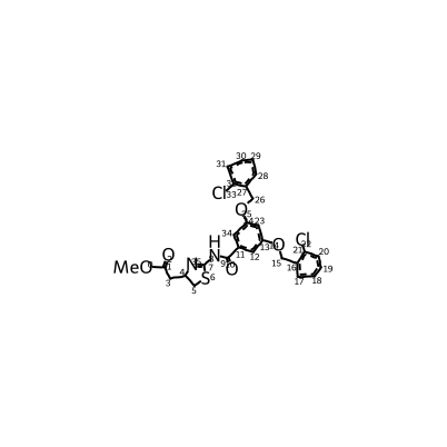 COC(=O)CC1CSC(NC(=O)c2cc(OCc3ccccc3Cl)cc(OCc3ccccc3Cl)c2)=N1